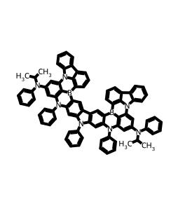 CC(C)N(c1ccccc1)c1cc2c3c(c1)-n1c4ccccc4c4cccc(c41)B3c1cc3c4cc5c(cc4n(-c4ccccc4)c3cc1N2c1ccccc1)N(c1ccccc1)c1cc(N(c2ccccc2)C(C)C)cc2c1B5c1cccc3c4ccccc4n-2c13